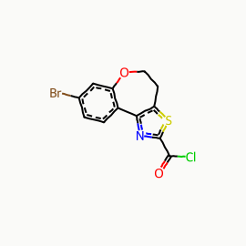 O=C(Cl)c1nc2c(s1)CCOc1cc(Br)ccc1-2